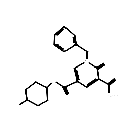 CNC(=O)c1cc(C(=O)NC2CCC(O)CC2)cn(Cc2ccccc2)c1=O